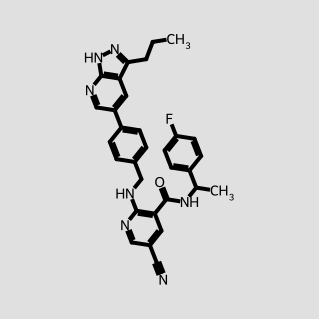 CCCc1n[nH]c2ncc(-c3ccc(CNc4ncc(C#N)cc4C(=O)NC(C)c4ccc(F)cc4)cc3)cc12